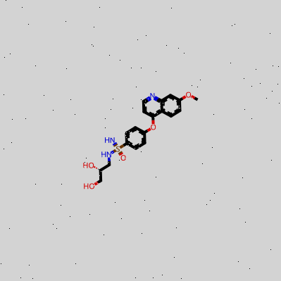 COc1ccc2c(Oc3ccc(S(=N)(=O)NC[C@@H](O)CO)cc3)ccnc2c1